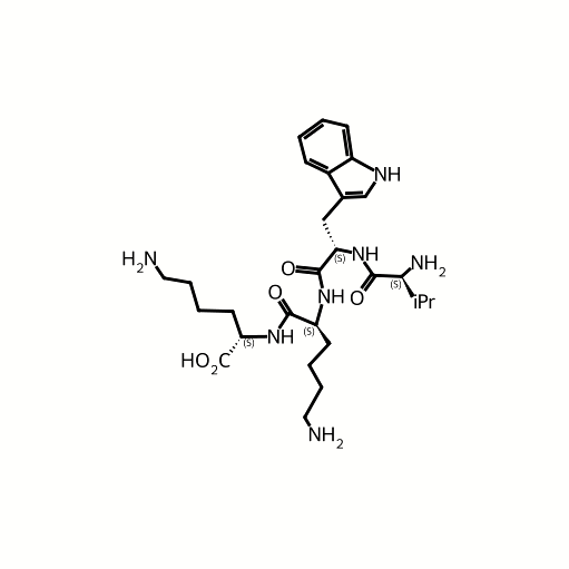 CC(C)[C@H](N)C(=O)N[C@@H](Cc1c[nH]c2ccccc12)C(=O)N[C@@H](CCCCN)C(=O)N[C@@H](CCCCN)C(=O)O